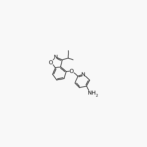 CC(C)c1noc2cccc(Oc3ccc(N)cn3)c12